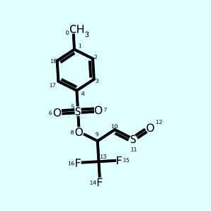 Cc1ccc(S(=O)(=O)OC(C=S=O)C(F)(F)F)cc1